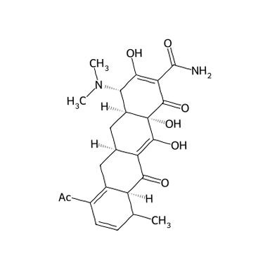 CC(=O)C1=C2C[C@H]3C[C@H]4[C@H](N(C)C)C(O)=C(C(N)=O)C(=O)[C@@]4(O)C(O)=C3C(=O)[C@H]2C(C)C=C1